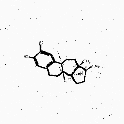 CCc1cc2c(cc1O)CC[C@@H]1[C@@H]2CC[C@]2(C)[C@@H](OC)CC[C@@H]12